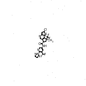 C[C@]1(C(F)(F)F)C[C@@H](C(=O)Nc2cnc(-n3nccn3)c(C(F)F)c2)c2cnc3cc(Cl)nn3c21